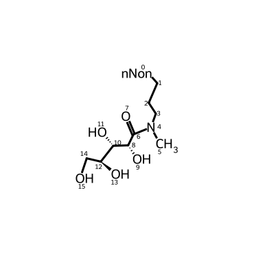 CCCCCCCCCCCCN(C)C(=O)[C@H](O)[C@@H](O)[C@@H](O)CO